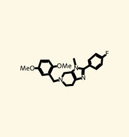 COc1ccc(OC)c(CN2CCc3nc(-c4ccc(F)cc4)n(C)c3C2)c1